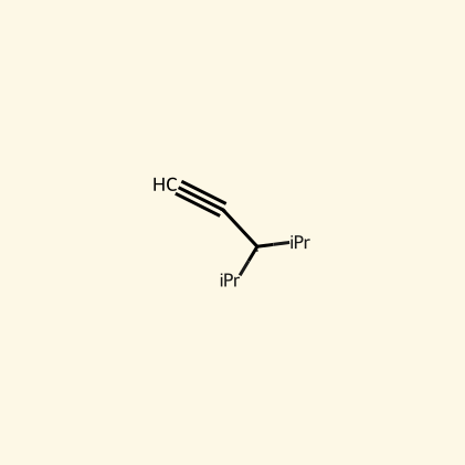 C#C[C](C(C)C)C(C)C